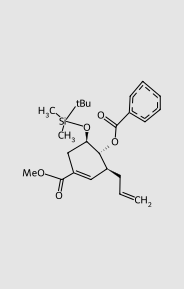 C=CC[C@H]1C=C(C(=O)OC)C[C@@H](O[Si](C)(C)C(C)(C)C)[C@@H]1OC(=O)c1ccccc1